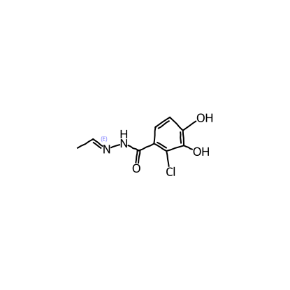 C/C=N/NC(=O)c1ccc(O)c(O)c1Cl